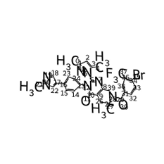 Cc1cc(C)n(-c2nc3c(c(=O)n2-c2ccc(-c4cnn(C)c4)cc2)CC(C)N(C(=O)c2ccc(Br)c(C(F)(F)F)c2)C3)n1